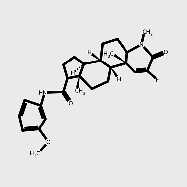 COc1cccc(NC(=O)C2CC[C@H]3[C@@H]4CCC5N(C)C(=O)C(F)=C[C@]5(C)[C@@H]4CC[C@]23C)c1